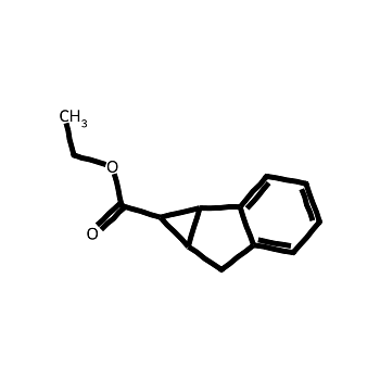 CCOC(=O)C1C2Cc3ccccc3C21